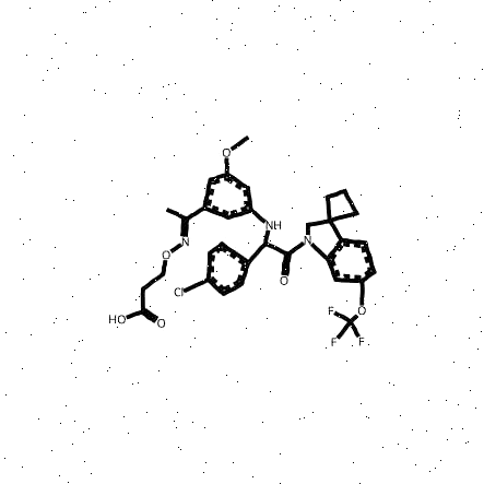 COc1cc(NC(C(=O)N2CC3(CCC3)c3ccc(OC(F)(F)F)cc32)c2ccc(Cl)cc2)cc(C(C)=NOCCC(=O)O)c1